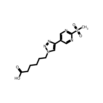 CS(=O)(=O)c1ncc(-c2cn(CCCCCC(=O)O)nn2)cn1